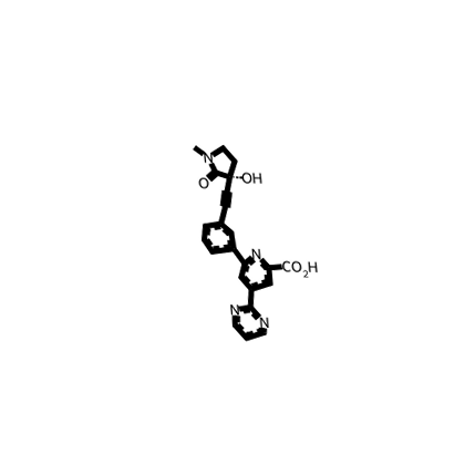 CN1CC[C@@](O)(C#Cc2cccc(-c3cc(-c4ncccn4)cc(C(=O)O)n3)c2)C1=O